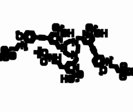 COc1ccc(C#Cc2cc(CN3CCN(Cc4cc(C#Cc5ccc(OC)c(N(C)CCCS(=O)(=O)O)c5)cc(P(C)(=O)O)n4)CCN(Cc4cc(CCCNC(=O)OC(C)(C)C)cc(P(C)(=O)O)n4)CC3)nc(P(C)(=O)O)c2)cc1N(C)CCCS(=O)(=O)O